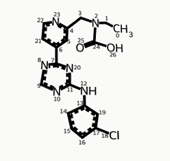 CCN(Cc1cc(-c2ncnc(Nc3cccc(Cl)c3)n2)ccn1)C(=O)O